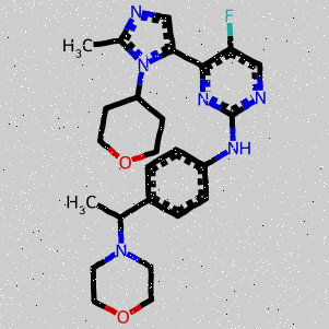 Cc1ncc(-c2nc(Nc3ccc(C(C)N4CCOCC4)cc3)ncc2F)n1C1CCOCC1